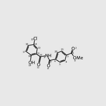 COC(=O)c1ccc(C(=O)NC(=O)c2cc(Cl)ccc2O)cc1